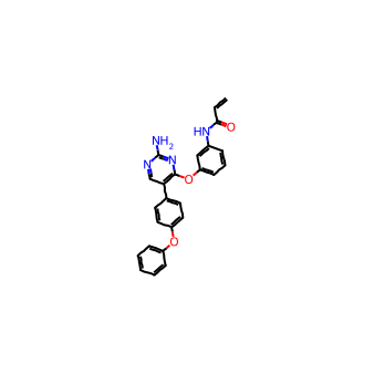 C=CC(=O)Nc1cccc(Oc2nc(N)ncc2-c2ccc(Oc3ccccc3)cc2)c1